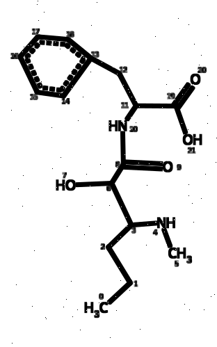 CCCC(NC)C(O)C(=O)NC(Cc1ccccc1)C(=O)O